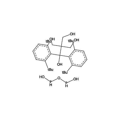 CC(C)(C)c1cccc(C(C)(C)C)c1C(O)(c1c(C(C)(C)C)cccc1C(C)(C)C)C(CO)(CO)CO.OPOPO